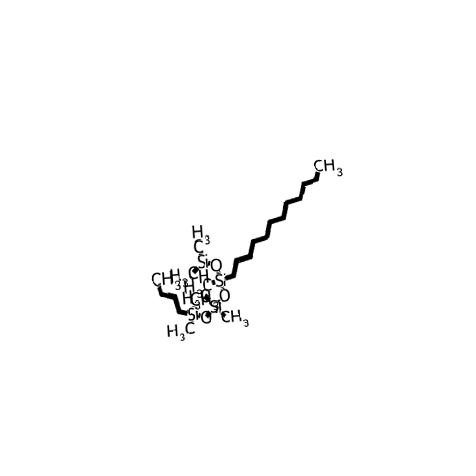 CCCCCCCCCCCC[Si](C)(O[SiH](C)C)O[Si](C)(C)O[Si](C)(C)CCCC